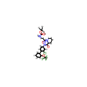 CN(CCC(=O)N1CCCCC1C(=O)Nc1ccc(-c2ccccc2OC(F)(F)F)c(Cl)c1)C(=O)OC(C)(C)C